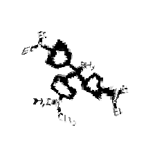 BC(c1ccc(N(C)C)cc1)(c1ccc(N(CC)CC)cc1)c1ccc(N(CC)CC)cc1